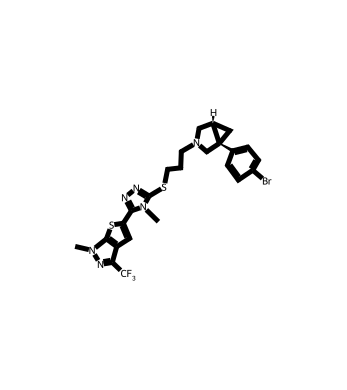 Cn1c(SCCCN2C[C@H]3C[C@]3(c3ccc(Br)cc3)C2)nnc1-c1cc2c(C(F)(F)F)nn(C)c2s1